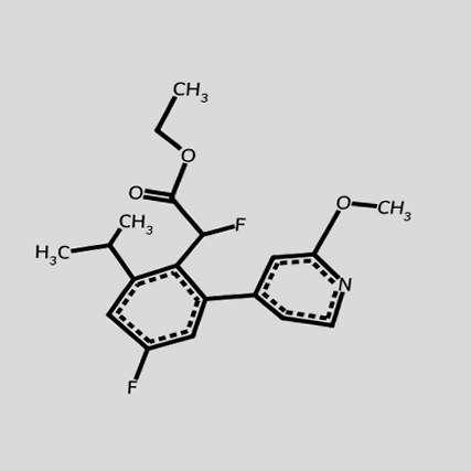 CCOC(=O)C(F)c1c(-c2ccnc(OC)c2)cc(F)cc1C(C)C